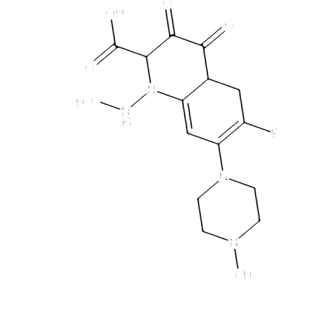 CNN1C2=CC(N3CCN(C)CC3)=C(F)CC2C(=O)C(=O)C1C(=O)O